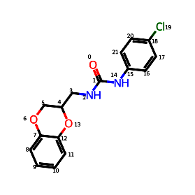 O=C(NCC1COc2ccccc2O1)Nc1ccc(Cl)cc1